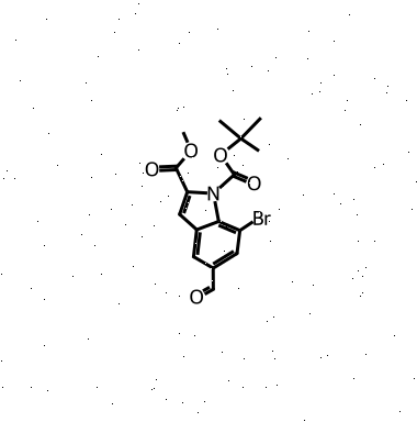 COC(=O)c1cc2cc(C=O)cc(Br)c2n1C(=O)OC(C)(C)C